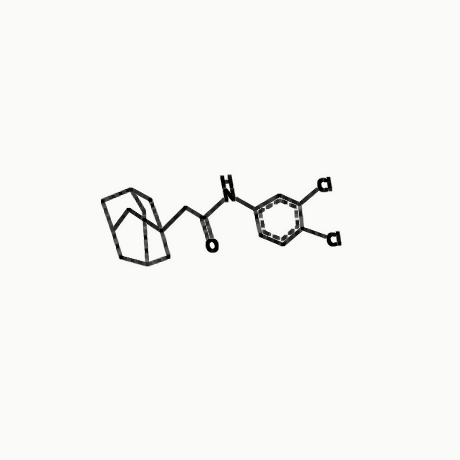 O=C(CC12CC3CC(CC(C3)C1)C2)Nc1ccc(Cl)c(Cl)c1